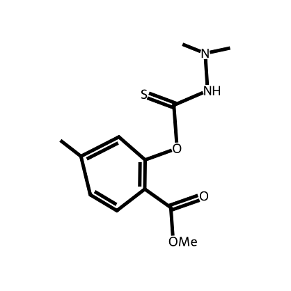 COC(=O)c1ccc(C)cc1OC(=S)NN(C)C